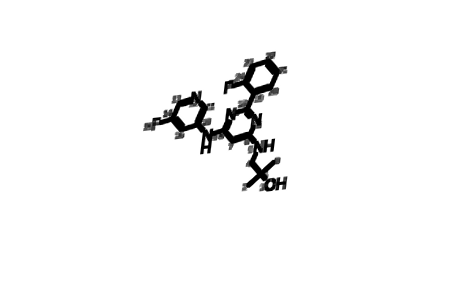 CC(C)(O)CNc1cc(Nc2cncc(F)c2)nc(-c2ccccc2F)n1